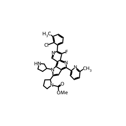 COC(=O)N1CCCC1c1cc2c(-c3cccc(C)n3)nc3c(F)c(-c4cccc(C)c4Cl)ncc3c2n1C1CCNC1